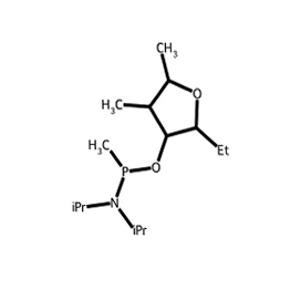 CCC1OC(C)C(C)C1OP(C)N(C(C)C)C(C)C